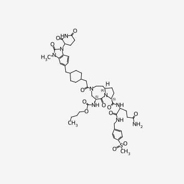 CCCCOC(=O)N[C@H]1CN(C(=O)CC2CCC(Cc3ccc4c(c3)n(C)c(=O)n4C3CCC(=O)NC3=O)CC2)CC[C@H]2CC[C@@H](C(=O)NC(CCC(N)=O)C(=O)NCc3ccc(S(C)(=O)=O)cc3)N2C1=O